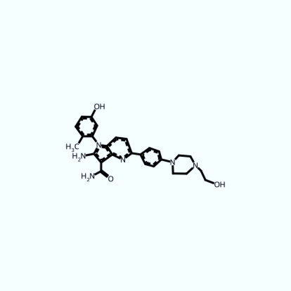 Cc1ccc(O)cc1-n1c(N)c(C(N)=O)c2nc(-c3ccc(N4CCN(CCO)CC4)cc3)ccc21